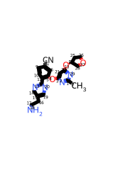 Cc1nc(Oc2cc(C#N)ccc2-c2ncc(CCN)cn2)cc(O[C@H]2CCOC2)n1